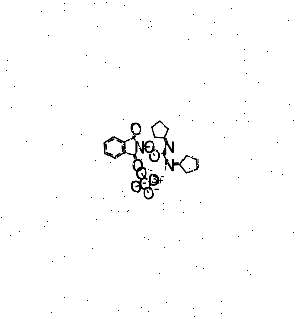 O=C1c2ccccc2C(=O)N1O[O+]=C(N=C1CCCC1)N=C1CCCC1.[O-][Cl+3]([O-])([O-])[O-]